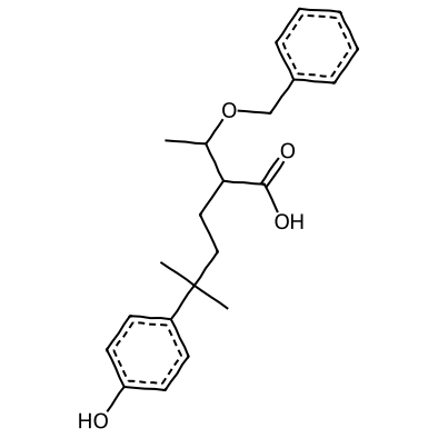 CC(OCc1ccccc1)C(CCC(C)(C)c1ccc(O)cc1)C(=O)O